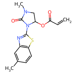 C=CC(=O)OC1CN(C)C(=O)N1c1nc2cc(C)ccc2s1